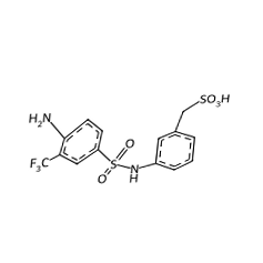 Nc1ccc(S(=O)(=O)Nc2cccc(CS(=O)(=O)O)c2)cc1C(F)(F)F